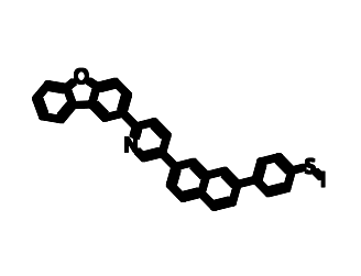 ISc1ccc(-c2ccc3ccc(-c4ccc(-c5ccc6oc7ccccc7c6c5)nc4)cc3c2)cc1